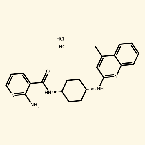 Cc1cc(N[C@H]2CC[C@@H](NC(=O)c3cccnc3N)CC2)nc2ccccc12.Cl.Cl